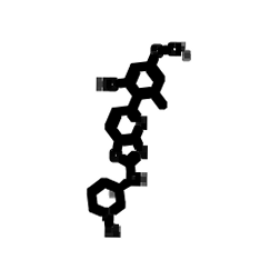 CCN1CCC[C@@H](Nc2nc3nc(-c4c(C)cc(OC(F)(F)F)cc4O)ccc3o2)C1